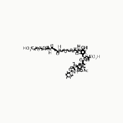 CC[C@H](C)[C@H](NC(=O)[C@H]1CCCCN1C)C(=O)N(C)[C@H](C[C@@H](OC(C)=O)c1nc(C(=O)N[C@@H](Cc2ccc(O)c(NC(=O)CCOCCOCCNC(=O)C#CC(=O)NCCOCCOCCC(=O)O)c2)CC(C)C(=O)O)cs1)C(C)C